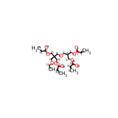 C=CC(=O)OCC(COCC(COCC)(COC(=O)C=C)COC(=O)C=C)COC(=O)C=C